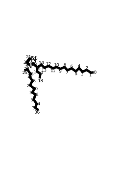 CCCCCCCCCCCCCCCC(CCC)c1nccn1C(C)CCCCCCCCCCC